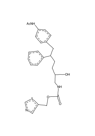 CC(=O)Nc1ccc(CC(CCC(O)CNC(=O)OCc2cncs2)c2ccccc2)cc1